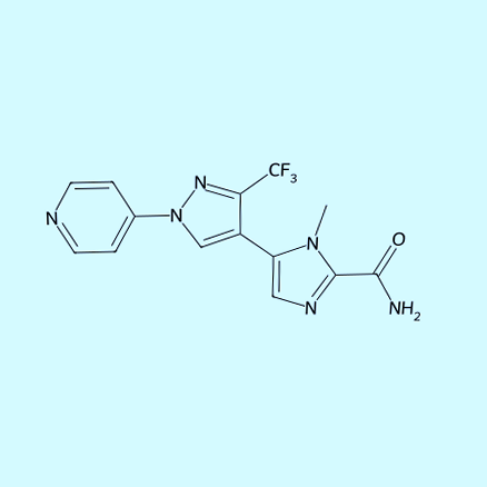 Cn1c(-c2cn(-c3ccncc3)nc2C(F)(F)F)cnc1C(N)=O